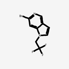 FC(F)(F)Cn1ccc2cnc(Br)cc21